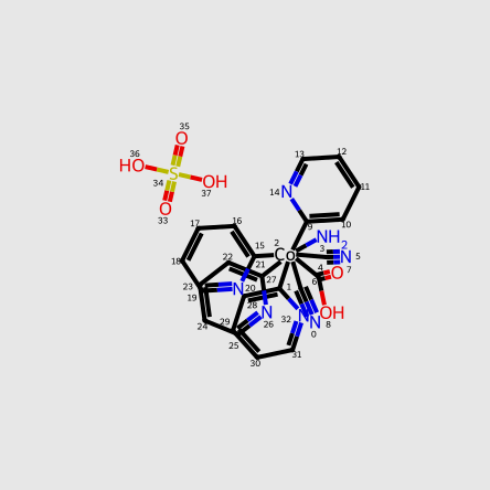 N#[C][Co]([NH2])([C]#N)([C](=O)O)([c]1ccccn1)([c]1ccccn1)([c]1ccccn1)[c]1ccccn1.O=S(=O)(O)O